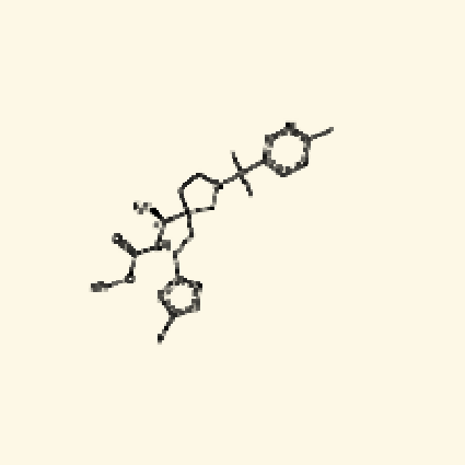 CCCOC(=O)N[C@@H](C(F)(F)F)C1(CCc2ccc(F)s2)CCN(C(C)(C)c2ccc(C)nc2)C1